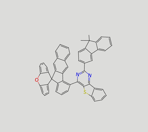 CC1(C)c2ccccc2-c2cc(-c3nc(-c4cccc5c4-c4cc6ccccc6cc4C54c5ccccc5Oc5ccccc54)c4sc5ccccc5c4n3)ccc21